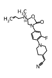 C=CCN(C)[C@@H]1CN(c2ccc(N3CCC(=CC#N)CC3)c(F)c2)C(=O)O1